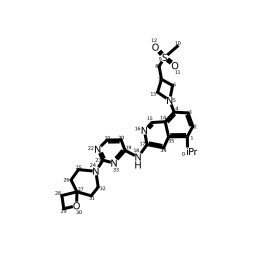 CC(C)c1ccc(N2CC(CS(C)(=O)=O)C2)c2cnc(Nc3ccnc(N4CCC5(CCO5)CC4)n3)cc12